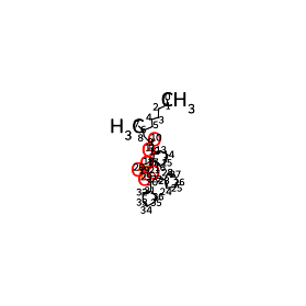 CCCCCCC(C)CC(=O)Oc1ccccc1OP(=O)(OCc1ccccc1)OCc1ccccc1